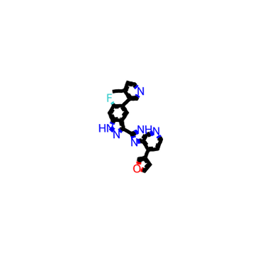 Cc1ccncc1-c1cc2c(-c3nc4c(-c5ccoc5)ccnc4[nH]3)n[nH]c2cc1F